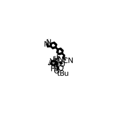 C[C@@H]1[C@H](C)[C@H]2C[C@H]1[C@@H](C(=O)N[C@H](C#N)Cc1ccc(-c3ccc4c(cnn4C)c3)cc1F)N2C(=O)OC(C)(C)C